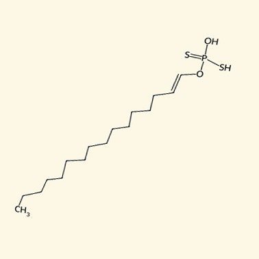 CCCCCCCCCCCCCCC=COP(O)(=S)S